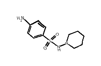 Nc1ccc(S(=O)(=O)NN2CCCCC2)cc1